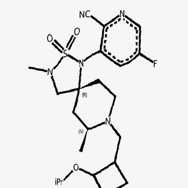 CC(C)OC1CCC1CN1CC[C@@]2(C[C@@H]1C)CN(C)S(=O)(=O)N2c1cc(F)cnc1C#N